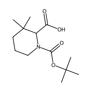 CC(C)(C)OC(=O)N1CCCC(C)(C)C1C(=O)O